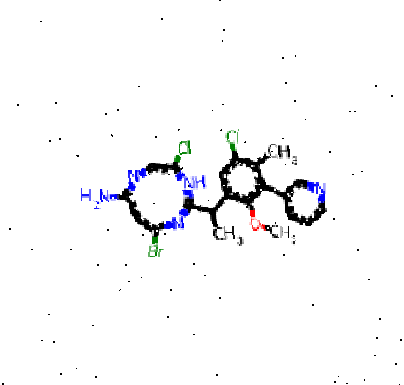 COc1c(C(C)c2nc(Br)cc(N)ncc(Cl)[nH]2)cc(Cl)c(C)c1-c1cccnc1